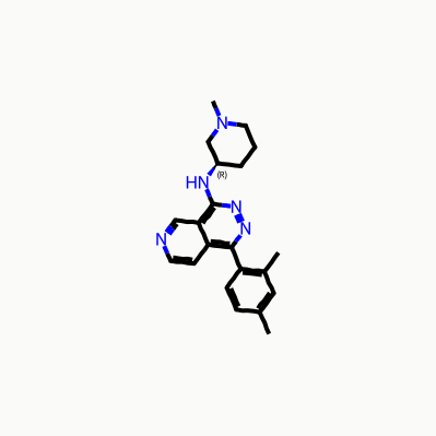 Cc1ccc(-c2nnc(N[C@@H]3CCCN(C)C3)c3cnccc23)c(C)c1